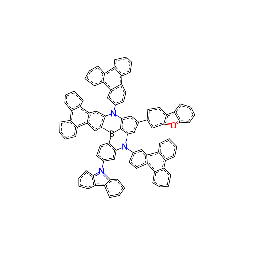 c1ccc2c(c1)oc1cc(-c3cc4c5c(c3)N(c3ccc6c7ccccc7c7ccccc7c6c3)c3cc6c7ccccc7c7ccccc7c6cc3B5c3ccc(-n5c6ccccc6c6ccccc65)cc3N4c3ccc4c5ccccc5c5ccccc5c4c3)ccc12